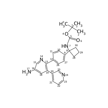 CC(C)(C)OC(=O)NC1(c2ccc(-c3ncc(N)cc3-c3cccnc3)cc2)CCC1